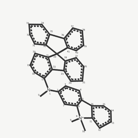 CN(c1ccc2c(c1)[N+](C)(C)c1ccccc1-2)c1cccc2c1-c1ccccc1C21c2ccccc2-c2ccccc21